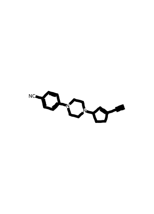 C#CC1=CC(N2CCN(c3ccc(C#N)cc3)CC2)CC1